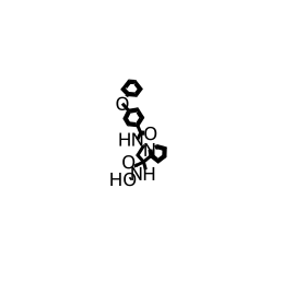 CC(CCNC(=O)c1ccc(Oc2ccccc2)cc1)(C(=O)NO)c1ccccn1